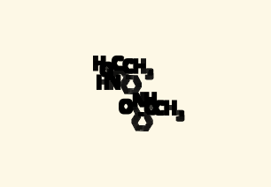 COc1ccccc1C(=O)Nc1ccc2c(c1)NC(=O)C2(C)C